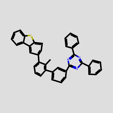 Cc1c(-c2cccc(-c3nc(-c4ccccc4)nc(-c4ccccc4)n3)c2)cccc1-c1ccc2sc3ccccc3c2c1